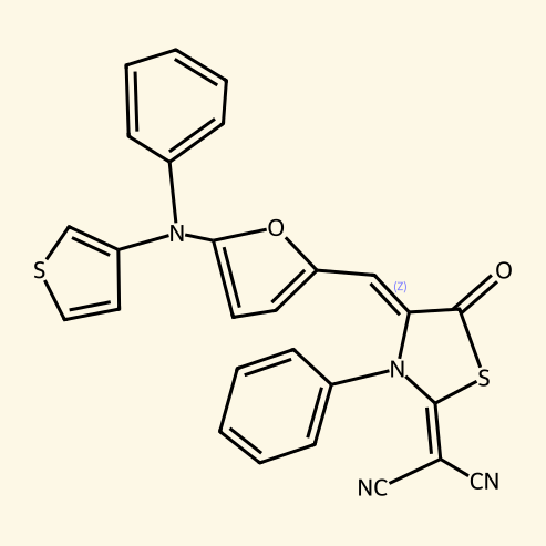 N#CC(C#N)=c1sc(=O)/c(=C/c2ccc(N(c3ccccc3)c3ccsc3)o2)n1-c1ccccc1